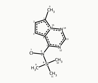 Cc1ccc2c(N(Cl)[Si](C)(C)C)ncnn12